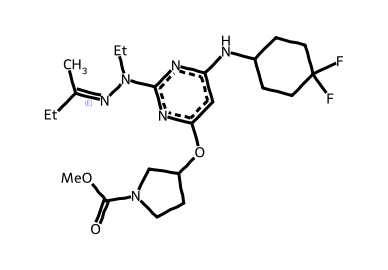 CC/C(C)=N/N(CC)c1nc(NC2CCC(F)(F)CC2)cc(OC2CCN(C(=O)OC)C2)n1